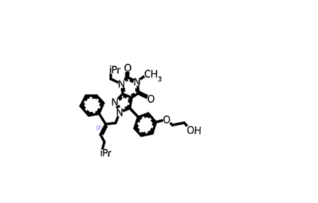 CC(C)C/C=C(\Cn1nc2c(c1-c1cccc(OCCO)c1)c(=O)n(C)c(=O)n2CC(C)C)c1ccccc1